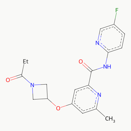 CCC(=O)N1CC(Oc2cc(C)nc(C(=O)Nc3ccc(F)cn3)c2)C1